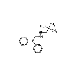 CC(C)(C)CPNCP(c1ccccc1)c1ccccc1